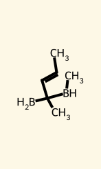 BC(C)(BC)C=CC